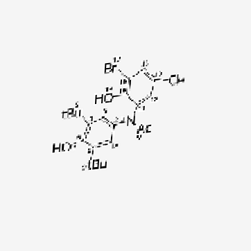 CC(=O)N(c1cc(C(C)(C)C)c(O)c(C(C)(C)C)c1)c1cc(Cl)cc(Br)c1O